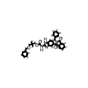 CC(C)(COCc1ccccc1)COC(=O)Nc1nc2cc(C3(O)c4ccccc4C(=O)N3Cc3ccccc3)ccc2[nH]1